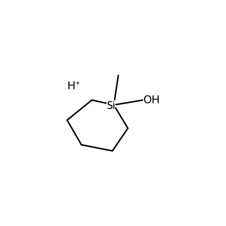 C[Si]1(O)CCCCC1.[H+]